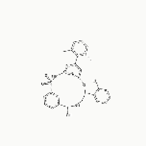 Cc1cccc(C)c1-c1cc2nc(n1)NS(=O)(=O)c1cccc(c1)C(O)NCC(c1ccccc1Cl)O2